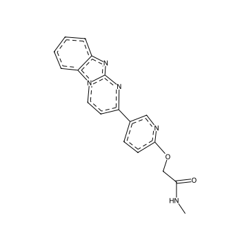 CNC(=O)COc1ccc(-c2ccn3c(n2)nc2ccccc23)cn1